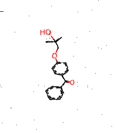 CC(C)(O)COc1ccc(C(=O)c2ccccc2)cc1